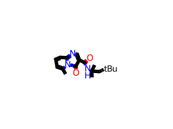 Cc1cccc2ncc(C(=O)NC(C)(C)CC(C)(C)C)c(=O)n12